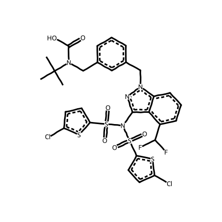 CC(C)(C)N(Cc1cccc(Cn2nc(N(S(=O)(=O)c3ccc(Cl)s3)S(=O)(=O)c3ccc(Cl)s3)c3c(C(F)F)cccc32)c1)C(=O)O